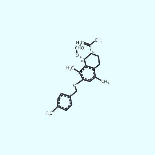 C=C(C)[C@@H]1CCc2c(C)cc(OCc3ccc(C(F)(F)F)cc3)c(C)c2[C@@H]1OC=O